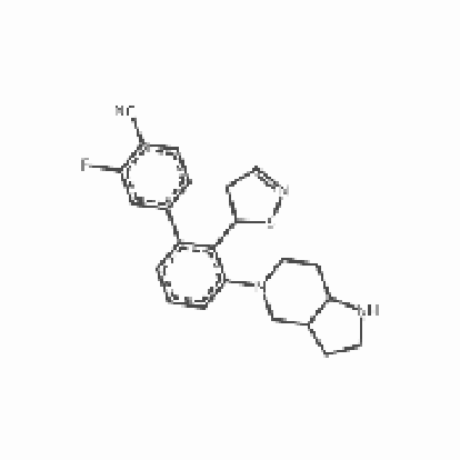 N#Cc1ccc(-c2cccc(N3CCC4NCCC4C3)c2C2CC=NS2)cc1F